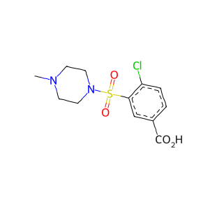 CN1CCN(S(=O)(=O)c2cc(C(=O)O)ccc2Cl)CC1